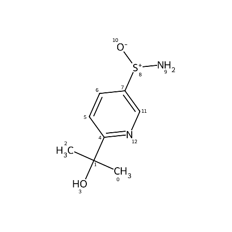 CC(C)(O)c1ccc([S+](N)[O-])cn1